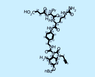 C#CCn1c(=O)n(C(=O)NCc2ccc(NC(=O)[C@H](CCCNC(N)=O)NC(=O)[C@@H](NC(=O)CCC(=O)O)C(C)C)cc2)c2c(N)nc(OCCCC)nc21